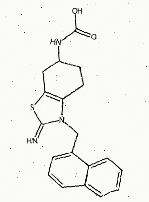 N=c1sc2c(n1Cc1cccc3ccccc13)CCC(NC(=O)O)C2